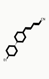 CC[C@H]1CC[C@H](C2CCC(C=CC=CC#N)CC2)CC1